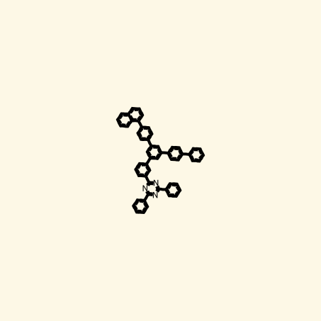 c1ccc(-c2ccc(-c3cc(-c4ccc(-c5cccc6ccccc56)cc4)cc(-c4cccc(-c5nc(-c6ccccc6)nc(-c6ccccc6)n5)c4)c3)cc2)cc1